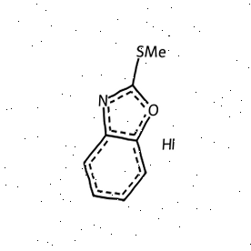 CSc1nc2ccccc2o1.I